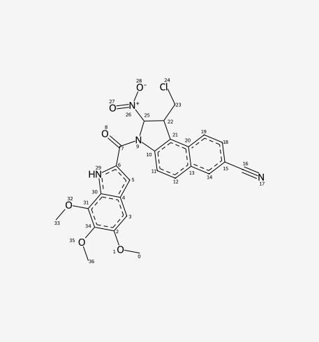 COc1cc2cc(C(=O)N3c4ccc5cc(C#N)ccc5c4C(CCl)C3[N+](=O)[O-])[nH]c2c(OC)c1OC